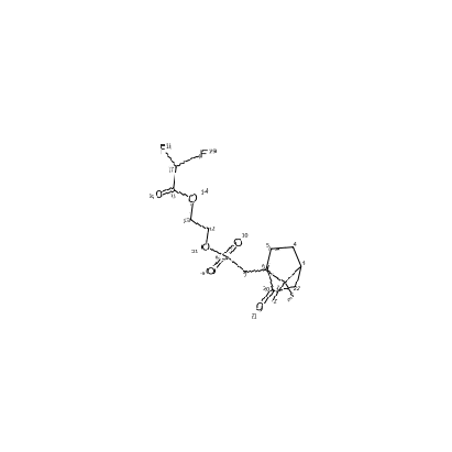 CC1(C)C2CCC1(CS(=O)(=O)OCCOC(=O)C(F)F)C(=O)C2